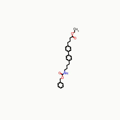 CCOC(=O)CCCc1ccc(-c2ccc(CCCCNC(=O)OCc3ccccc3)cc2)cc1